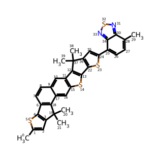 Cc1cc2c(s1)-c1ccc3cc4c5c(sc4cc3c1C2(C)C)-c1sc(-c2ccc(C)c3nsnc23)cc1C5(C)C